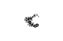 COCCNC(=O)c1cn2ncnc(N)c2c1-c1ccc(NC(=O)Nc2ccc3ccccc3c2)cc1